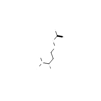 CN(C)[C@@H](CCONC(=N)N)C(=O)O